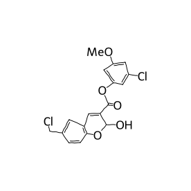 COc1cc(Cl)cc(OC(=O)C2=Cc3cc(CCl)ccc3OC2O)c1